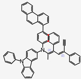 C#C/C(=C\C(=C(/C)N(c1ccc(-c2cccc3c2ccc2ccccc23)cc1)c1ccc2c(c1)c1ccccc1n2-c1ccccc1)c1ccccc1)c1ccccc1